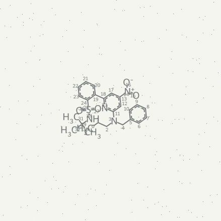 CCCN(Cc1ccccc1)c1cc([N+](=O)[O-])cc(-c2ccccc2S(=O)(=O)NC(C)(C)C)n1